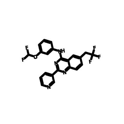 FC(F)Oc1cccc(Nc2nc(-c3cccnc3)nc3ccc(CC(F)(F)F)cc23)c1